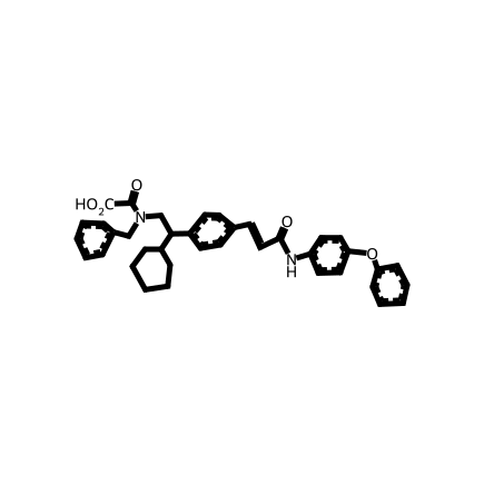 O=C(C=Cc1ccc(C(CN(Cc2ccccc2)C(=O)C(=O)O)C2CCCCC2)cc1)Nc1ccc(Oc2ccccc2)cc1